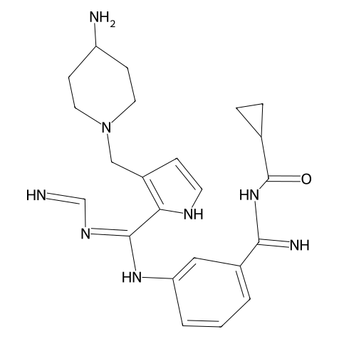 N=C/N=C(/Nc1cccc(C(=N)NC(=O)C2CC2)c1)c1[nH]ccc1CN1CCC(N)CC1